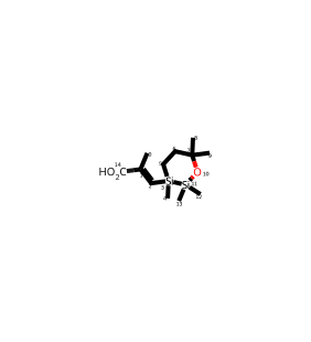 CC(=C[Si]1(C)CCC(C)(C)O[Si]1(C)C)C(=O)O